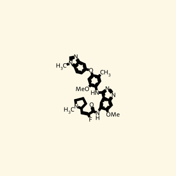 COc1cc2ncnc(Nc3cc(C)c(Oc4ccc5c(c4)ncn5C)cc3OC)c2cc1NC(=O)/C(F)=C\C1CCCN1C